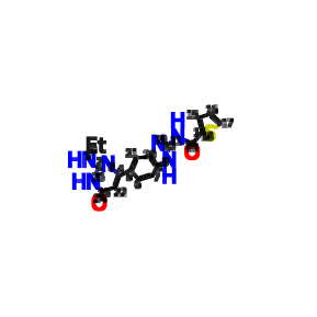 CCNc1nc(-c2ccc3[nH]c(NC(=O)c4cccs4)nc3c2)cc(=O)[nH]1